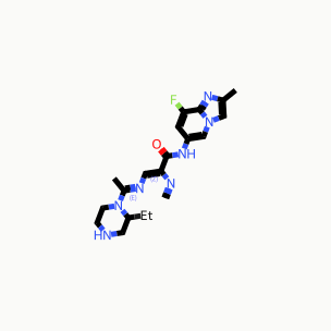 C=N/C(=C\N=C(/C)N1CCNCC1CC)C(=O)Nc1cc(F)c2nc(C)cn2c1